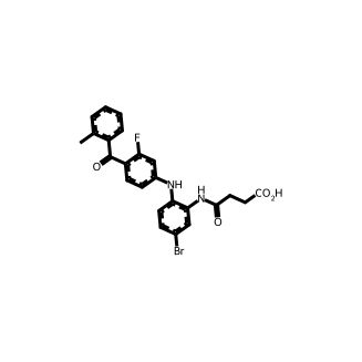 Cc1ccccc1C(=O)c1ccc(Nc2ccc(Br)cc2NC(=O)CCC(=O)O)cc1F